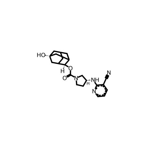 N#Cc1cccnc1N[C@@H]1CCN(C(=O)O[C@H]2C3CC4CC2C[C@](O)(C4)C3)C1